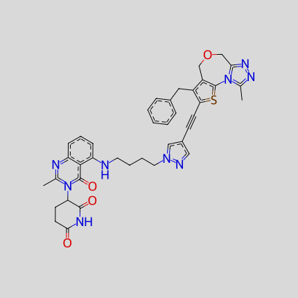 Cc1nnc2n1-c1sc(C#Cc3cnn(CCCCNc4cccc5nc(C)n(C6CCC(=O)NC6=O)c(=O)c45)c3)c(Cc3ccccc3)c1COC2